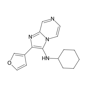 c1cn2c(NC3CCCCC3)c(-c3ccoc3)nc2cn1